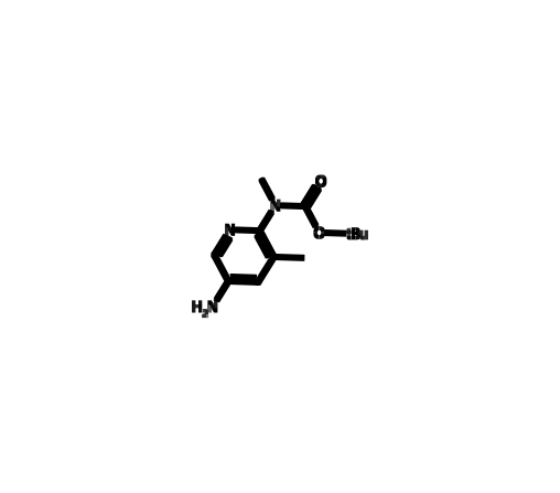 Cc1cc(N)cnc1N(C)C(=O)OC(C)(C)C